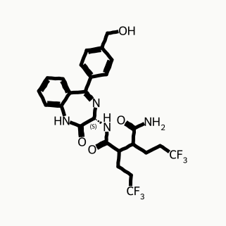 NC(=O)C(CCC(F)(F)F)C(CCC(F)(F)F)C(=O)N[C@H]1N=C(c2ccc(CO)cc2)c2ccccc2NC1=O